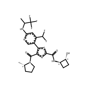 CC(Nc1cc(C(F)F)c(-c2sc(C(=O)N[C@@H]3CC[C@H]3O)nc2C(=O)N2CCC[C@@H]2C)cn1)C(F)(F)F